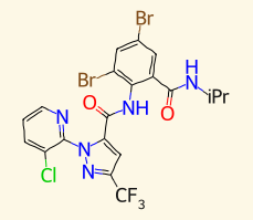 CC(C)NC(=O)c1cc(Br)cc(Br)c1NC(=O)c1cc(C(F)(F)F)nn1-c1ncccc1Cl